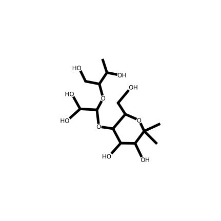 CC(O)C(CO)OC(OC1C(CO)OC(C)(C)C(O)C1O)C(O)O